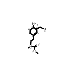 COC(=O)N(C)CCc1ccc(N)c(CS)c1